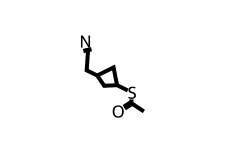 CC(=O)SC1CC(CC#N)C1